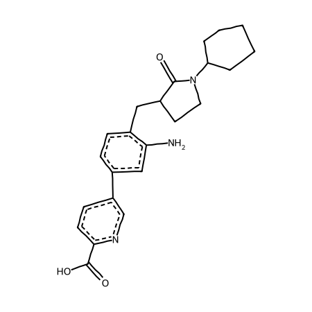 Nc1cc(-c2ccc(C(=O)O)nc2)ccc1CC1CCN(C2CCCCC2)C1=O